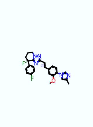 COc1cc(/C=C/c2nc3n(n2)CCC[C@]3(F)c2ccc(F)cc2)ccc1-n1cnc(C)c1